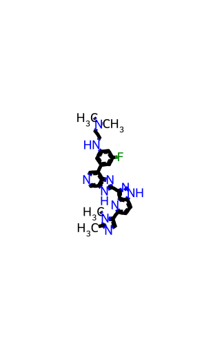 Cc1ncc(-c2ccc3[nH]nc(-c4nc5c(-c6cc(F)cc(NCCN(C)C)c6)cncc5[nH]4)c3n2)n1C